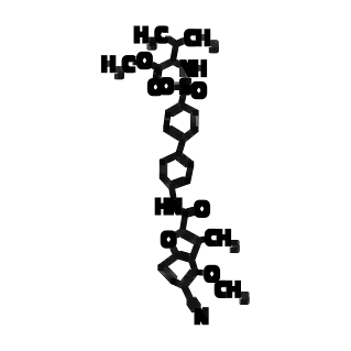 COC(=O)C(NS(=O)(=O)c1ccc(-c2ccc(NC(=O)c3oc4ccc(C#N)c(OC)c4c3C)cc2)cc1)C(C)C